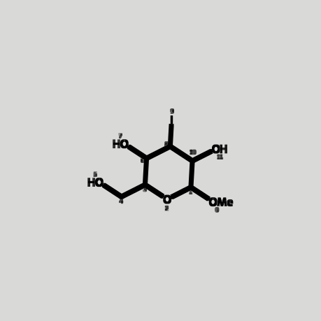 COC1OC(CO)C(O)C(I)C1O